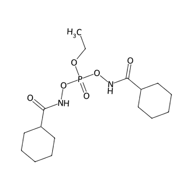 CCOP(=O)(ONC(=O)C1CCCCC1)ONC(=O)C1CCCCC1